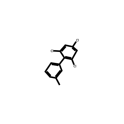 Cc1cccc(-c2c(Cl)cc(Cl)cc2Cl)c1